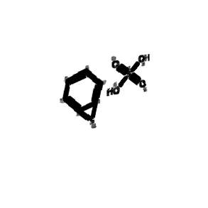 O=S(=O)(O)O.c1ccc2c(c1)S2